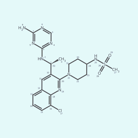 C[C@H](Nc1ncnc(N)n1)c1cc2cccc(Cl)c2nc1N1CCC(NS(C)(=O)=O)CC1